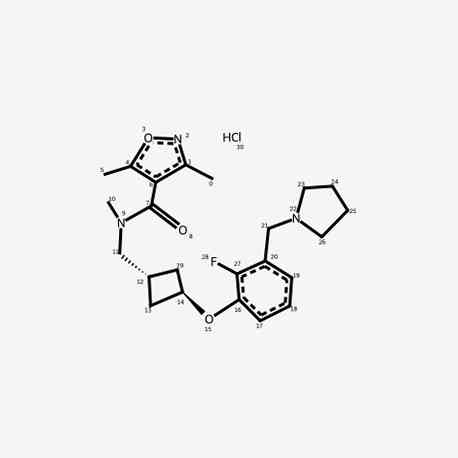 Cc1noc(C)c1C(=O)N(C)C[C@H]1C[C@H](Oc2cccc(CN3CCCC3)c2F)C1.Cl